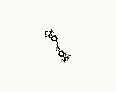 FC(F)(F)C1(c2ccc(CCCOc3ccc(C4(C(F)(F)F)C=N4)cc3)cc2)C=N1